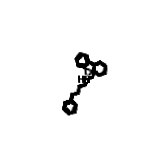 c1ccc(CCCCNCC23CCCCC2c2ccccc2O3)cc1